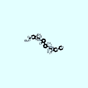 Cc1c(NC(=O)c2nc3c(n2C)CCN(C2CCOCC2)C3)cccc1-c1cccc(NC(=O)c2nc3c(n2C)CCN(C(=O)OC(C)(C)C)C3)c1Cl